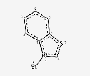 CC[n+]1csc2ccccc21